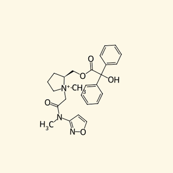 CN(C(=O)C[N@@+]1(C)CCC[C@H]1COC(=O)C(O)(c1ccccc1)c1ccccc1)c1ccon1